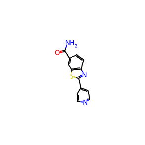 NC(=O)c1ccc2nc(-c3ccncc3)sc2c1